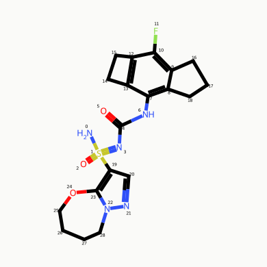 NS(=O)(=NC(=O)Nc1c2c(c(F)c3c1CC3)CCC2)c1cnn2c1OCCCC2